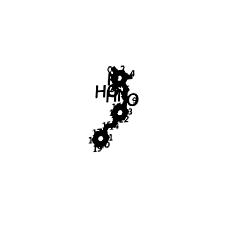 Cc1cc(C)c(CNC(=O)c2ccc(CCc3ccccc3)cc2)c(O)n1